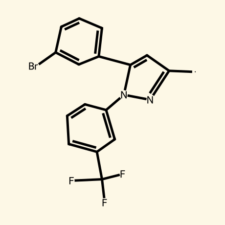 [CH2]c1cc(-c2cccc(Br)c2)n(-c2cccc(C(F)(F)F)c2)n1